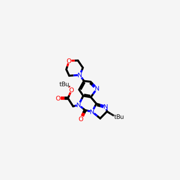 CC(C)(C)OC(=O)CN1C(=O)N2CC(C(C)(C)C)N=C2c2ncc(N3CCOCC3)cc21